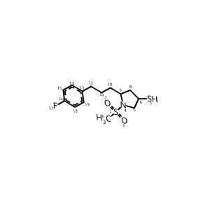 CS(=O)(=O)N1CC(S)CC1CCCc1ccc(F)cc1